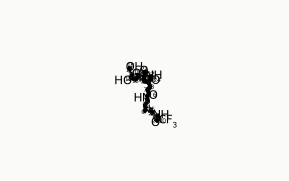 CN(CCNC(=O)C=Cc1cn([C@H]2C[C@H](O)[C@@H](CO)O2)c(=O)[nH]c1=O)CCNC(=O)C(F)(F)F